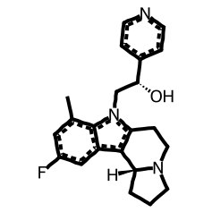 Cc1cc(F)cc2c3c(n(C[C@@H](O)c4ccncc4)c12)CCN1CCC[C@H]31